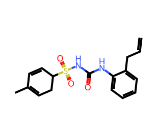 C=CCc1ccccc1NC(=O)NS(=O)(=O)C1C=CC(C)=CC1